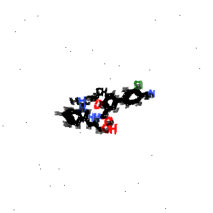 CC(C)Oc1ccc(-c2ccc(C#N)c(Cl)c2)cc1C(=O)N[C@@H](CO)Cc1c[nH]c2ccccc12